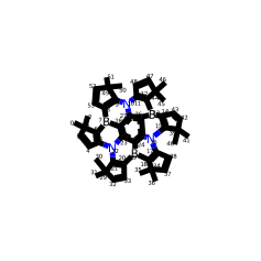 CC1(C)C=CC2=C1B1C3=C(N4C5=C(B6C7=C(N8C9=C(B%10C%11=C(N2c2c%10c8c6c4c21)C(C)(C)C=C%11)C(C)(C)C=C9)C(C)(C)C=C7)C(C)(C)C=C5)C(C)(C)C=C3